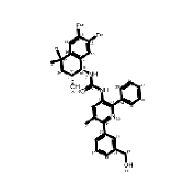 Cc1cc(NC(=O)N[C@@H]2c3cc(F)c(F)cc3C(C)(C)C[C@H]2O)c(-c2ccccc2)nc1-c1cccc(CO)c1